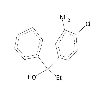 CCC(O)(c1ccccc1)c1ccc(Cl)c(N)c1